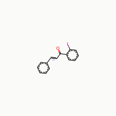 O=C(/C=C/c1ccccc1)c1ccccc1I